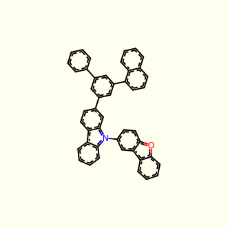 c1ccc(-c2cc(-c3ccc4c5ccccc5n(-c5ccc6oc7ccccc7c6c5)c4c3)cc(-c3cccc4ccccc34)c2)cc1